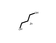 OCCCO.[Zn]